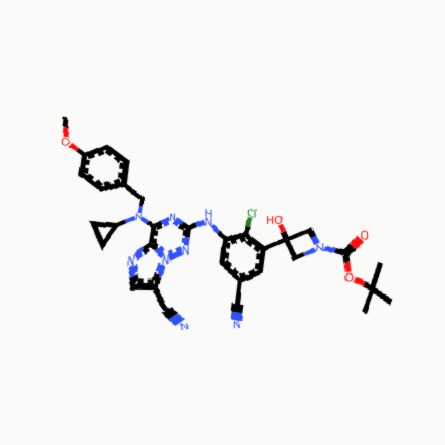 COc1ccc(CN(c2nc(Nc3cc(C#N)cc(C4(O)CN(C(=O)OC(C)(C)C)C4)c3Cl)nn3c(C#N)cnc23)C2CC2)cc1